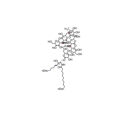 CCCCCCCCCCCCC/C=C/[C@@H](O)[C@H](CO[C@@H]1OC(CO)[C@@H](O[C@@H]2OC(CO)[C@H](O)[C@H](O[C@@H]3OC(CO)[C@@H](O[C@H]4OC(C)[C@@H](O)C(O)[C@@H]4O)[C@H](O[C@@H]4OC(CO)[C@H](O)[C@H](O[C@@H]5OC(CO)[C@@H](O)[C@H](O)C5NC(C)=O)C4O)C3NC(C)=O)C2O)[C@H](O)C1O)NC(=O)CCCCCCCCCCCCCCCCCCC